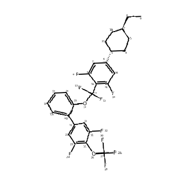 CC[C@H]1CC[C@H](c2cc(F)c(C(F)(F)Oc3ccccc3-c3cc(F)c(OC(F)(F)F)c(F)c3)c(F)c2)CC1